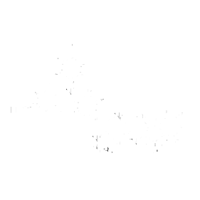 Cc1ccc(N(c2ccc(C)cc2)c2ccc(-c3ncc(N=c4c(=O)c5ccccc5c4=O)c4nsnc34)cc2)cc1